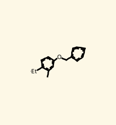 C[CH]c1ccc(OCc2ccccc2)cc1C